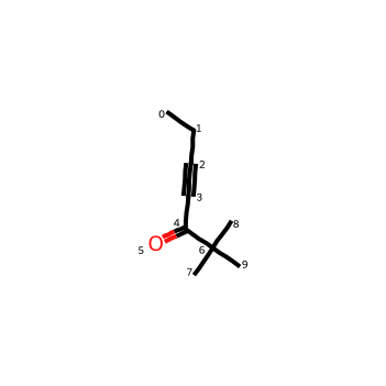 CCC#CC(=O)C(C)(C)C